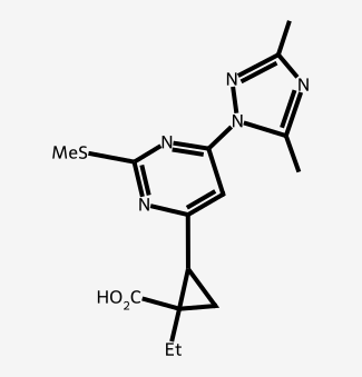 CCC1(C(=O)O)CC1c1cc(-n2nc(C)nc2C)nc(SC)n1